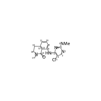 CNc1ncc(Cl)c(Nc2cccc3c2C(=O)N(C)CC3)n1